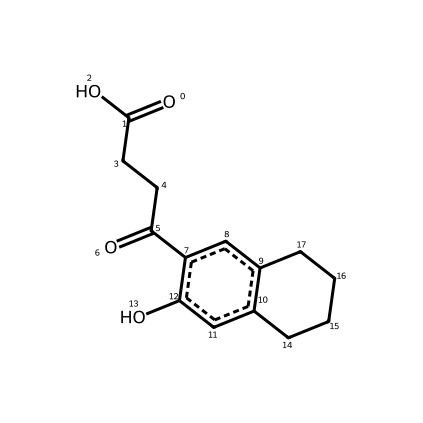 O=C(O)CCC(=O)c1cc2c(cc1O)CCCC2